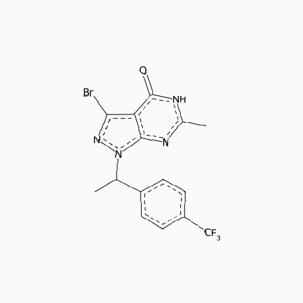 Cc1nc2c(c(Br)nn2C(C)c2ccc(C(F)(F)F)cc2)c(=O)[nH]1